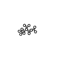 c1ccc(N(c2ccccc2)c2cc(N3c4ccccc4[Si](c4ccccc4)(c4ccccc4)c4ccccc43)cc(-n3c4ccccc4c4cc(N(c5ccccc5)c5ccccc5)ccc43)c2)cc1